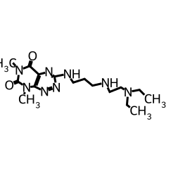 CCN(CC)CCNCCCNc1nnc2c(n1)c(=O)n(C)c(=O)n2C